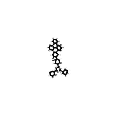 c1ccc(-c2nc(-c3ccccc3)nc(-c3ccc4c(c3)oc3ccc(-c5cccc6c7ccccc7c7ccccc7c56)cc34)n2)cc1